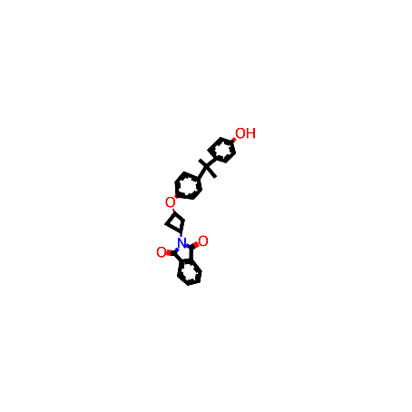 CC(C)(c1ccc(O)cc1)c1ccc(O[C@H]2C[C@@H](N3C(=O)c4ccccc4C3=O)C2)cc1